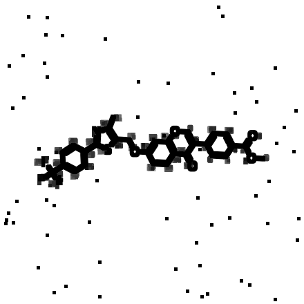 COC(=O)c1ccc(-c2coc3cc(OCc4sc(-c5ccc(C(F)(F)F)cc5)nc4C)ccc3c2=O)cc1